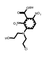 COC(=O)c1c([N+](=O)[O-])ccc(N(CCO)CCCl)c1[N+](=O)[O-]